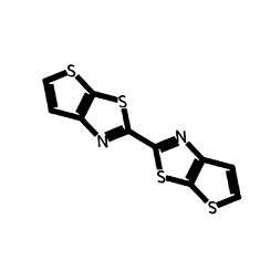 c1cc2nc(-c3nc4ccsc4s3)sc2s1